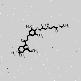 CCOC(=O)CCNCC(O)COc1c(C)cc(CCC(=O)c2sc(CC)c3c2CCC(C)(C)C3)cc1C